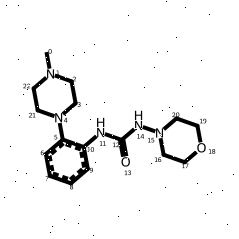 CN1CCN(c2ccccc2NC(=O)NN2CCOCC2)CC1